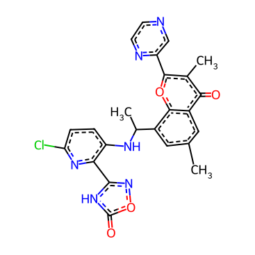 Cc1cc(C(C)Nc2ccc(Cl)nc2-c2noc(=O)[nH]2)c2oc(-c3cnccn3)c(C)c(=O)c2c1